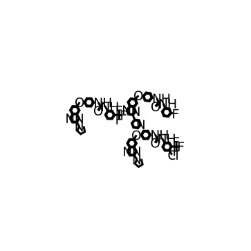 O=C(Nc1ccc(Oc2ccc3ncc(-c4cccnc4)nc3c2)cc1)Nc1cccc(F)c1.O=C(Nc1ccc(Oc2ccc3ncc(N4CCCC4)nc3c2)cc1)Nc1ccc(Cl)c(C(F)(F)F)c1.O=C(Nc1ccc(Oc2ccc3ncc(N4CCCC4)nc3c2)cc1)Nc1cccc(C(F)(F)F)c1